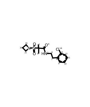 CC(C)(C(=O)NCCc1ccccc1Cl)S(=O)(=O)N1CCC1